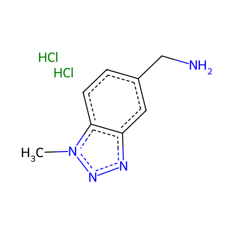 Cl.Cl.Cn1nnc2cc(CN)ccc21